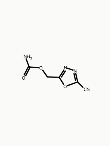 N#Cc1nnc(COC(N)=O)o1